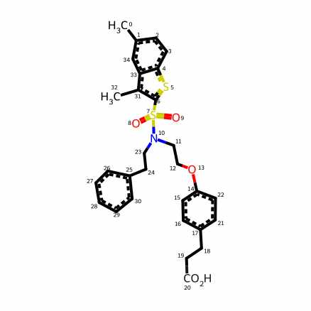 Cc1ccc2sc(S(=O)(=O)N(CCOc3ccc(CCC(=O)O)cc3)CCc3ccccc3)c(C)c2c1